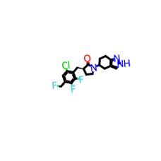 O=C1[C@H](Cc2c(Cl)cc(CF)c(F)c2F)CCN1C1CCc2n[nH]cc2C1